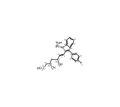 CC(C)n1c(/C=C/[C@@H](O)C[C@@H](O)CC(=O)O)c(-c2ccc(F)cc2)c2ccccc21.[NaH]